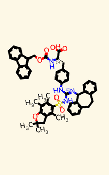 Cc1c(C)c(S(=O)(=O)N/C(=N\C2c3ccccc3CCc3ccccc32)Nc2ccc(C[C@H](NC(=O)OCC3c4ccccc4-c4ccccc43)C(=O)O)cc2)c(C)c2c1OC(C)(C)C2